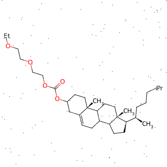 CCOCCOCCOC(=O)OC1CC[C@@]2(C)C(=CCC3C2CC[C@@]2(C)C3CC[C@@H]2[C@H](C)CCCC(C)C)C1